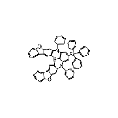 c1ccc(N2c3cc4oc5ccccc5c4cc3B3c4cc5c(cc4N(c4ccccc4)c4cc([Si](c6ccccc6)(c6ccccc6)c6ccccc6)cc2c43)oc2ccccc25)cc1